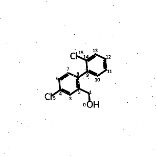 OCc1cc(Cl)ccc1-c1ccccc1Cl